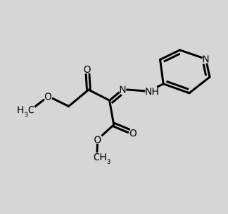 COCC(=O)/C(=N/Nc1ccncc1)C(=O)OC